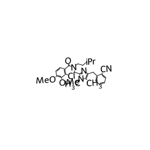 COc1ccc(C(=O)N(CCC(C)C)Cc2nc(Cc3ccccc3C#N)c(C)n2C)c(Cl)c1OC